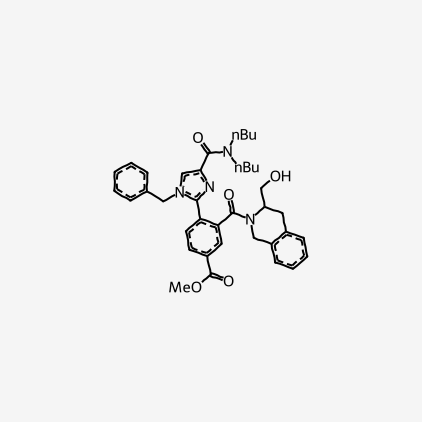 CCCCN(CCCC)C(=O)c1cn(Cc2ccccc2)c(-c2ccc(C(=O)OC)cc2C(=O)N2Cc3ccccc3CC2CO)n1